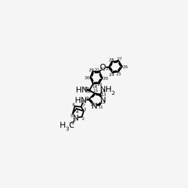 CN1CC2CC1CC2Nc1ncnc(N)c1C(=N)c1ccc(Oc2ccccc2)cc1